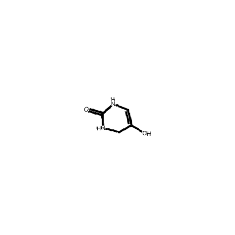 O=C1NC=C(O)CN1